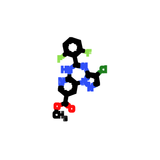 COC(=O)c1cnc2c(c1)-n1ncc(Cl)c1N=C(c1c(F)cccc1F)N2